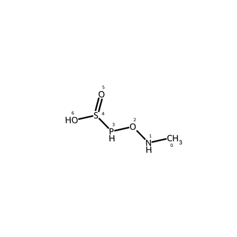 CNOPS(=O)O